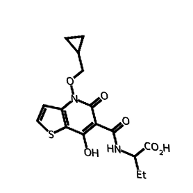 CCC(NC(=O)c1c(O)c2sccc2n(OCC2CC2)c1=O)C(=O)O